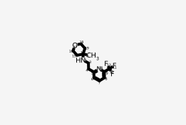 CC1(NCCc2cccc(C(F)(F)F)n2)CCOCC1